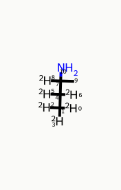 [2H]C([2H])([2H])C([2H])([2H])C([2H])(C)N